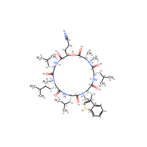 CC(C)CC[C@H]1C(=O)N[C@@H](CC(C)C)C(=O)N(C)[C@@H](Cc2csc3ccccc23)C(=O)N[C@@H](CC(C)C)C(=O)N(C)[C@@H](C)C(=O)O[C@H](CCC#N)C(=O)N[C@@H](CC(C)C)C(=O)N1C